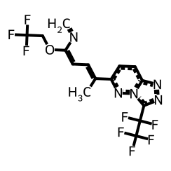 C=N/C(=C\C=C(/C)c1ccc2nnc(C(F)(F)C(F)(F)F)n2n1)OCC(F)(F)F